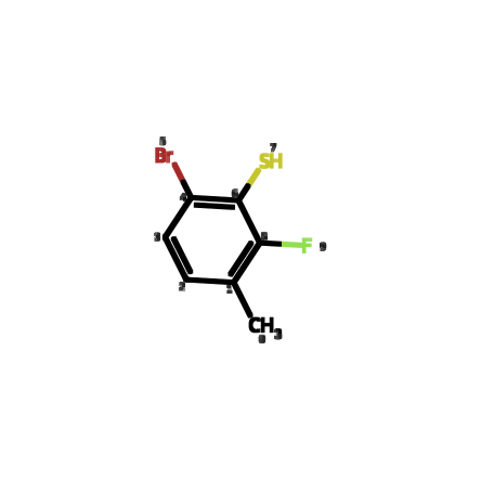 Cc1ccc(Br)c(S)c1F